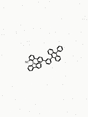 N#Cc1cccc(-c2ccc(-c3cccc(-c4c5ccccc5c(-c5ccccc5)c5ccccc45)c3)cc2)c1-n1c2ccccc2c2ccccc21